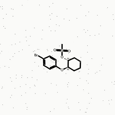 CS(=O)(=O)O[C@@H]1CCCC[C@H]1Oc1ccc(Br)cc1